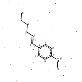 CCCC/C=C/c1ccc(SC)cc1